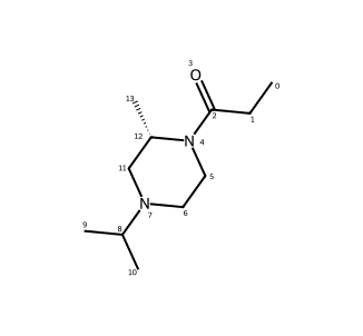 CCC(=O)N1CCN(C(C)C)C[C@@H]1C